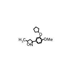 COc1ccc(C2=NO[C](C)C2)cc1OC1CCCC1